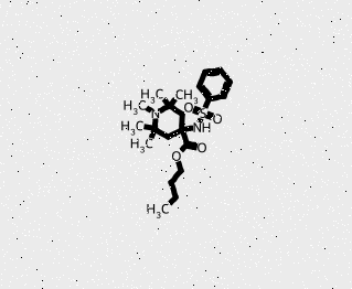 CCCCOC(=O)C1(NS(=O)(=O)c2ccccc2)CC(C)(C)N(C)C(C)(C)C1